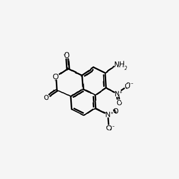 Nc1cc2c3c(ccc([N+](=O)[O-])c3c1[N+](=O)[O-])C(=O)OC2=O